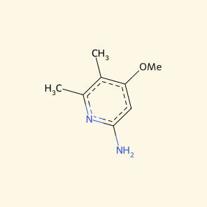 COc1cc(N)nc(C)c1C